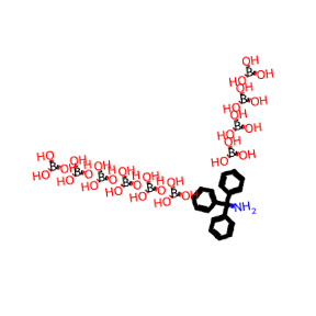 NC(c1ccccc1)(c1ccccc1)c1ccccc1.OB(O)O.OB(O)O.OB(O)O.OB(O)O.OB(O)O.OB(O)O.OB(O)O.OB(O)O.OB(O)O.OB(O)O